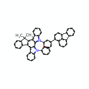 CC1(C)c2ccccc2-c2c1c1c3ccccc3n(-c3cccc(-c4ccc5c6c(cccc46)-c4ccccc4-5)c3)c1c1c2c2ccccc2n1-c1ccccc1